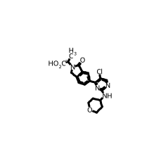 C[C@H](C(=O)O)N1Cc2ccc(-c3nc(NC4CCOCC4)ncc3Cl)cc2C1=O